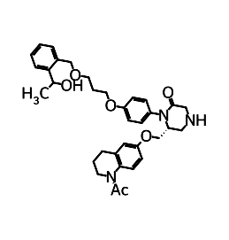 CC(=O)N1CCCc2cc(OC[C@H]3CNCC(=O)N3c3ccc(OCCCOCc4ccccc4C(C)O)cc3)ccc21